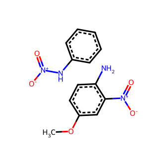 COc1ccc(N)c([N+](=O)[O-])c1.O=[N+]([O-])Nc1ccccc1